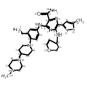 CCc1cc(Nc2nc(NC3CCOCC3)c(-c3cc(C)sn3)nc2C(N)=O)ccc1N1CCC(N2CCN(C)CC2)CC1